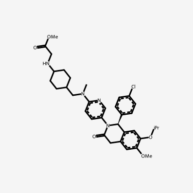 COC(=O)CNC1CCC(CN(C)c2ccc(N3C(=O)Cc4cc(OC)c(OC(C)C)cc4[C@@H]3c3ccc(Cl)cc3)cn2)CC1